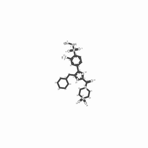 CC(C)(C)NS(=O)(=O)c1ccc(-c2sc(C(=O)N3CCS(=O)(=O)CC3)nc2CC2CCCCC2)cc1C(F)(F)F